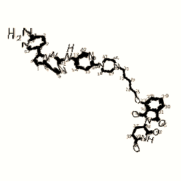 Nc1ccc(-c2ccc3cnc(Nc4ccc(N5CCN(CCCCCOc6cccc7c6C(=O)N(C6CCC(=O)NC6=O)C7=O)CC5)nc4)nn23)cn1